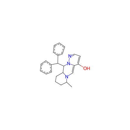 CC1CCCC2C(C(c3ccccc3)c3ccccc3)N3N=CC=C(O)C3=CN12